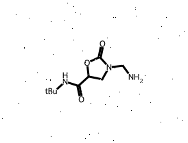 CC(C)(C)NC(=O)C1CN(CN)C(=O)O1